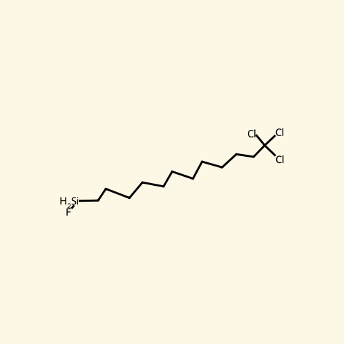 F[SiH2]CCCCCCCCCCCC(Cl)(Cl)Cl